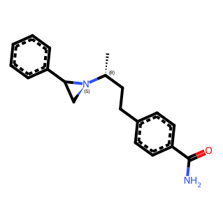 C[C@H](CCc1ccc(C(N)=O)cc1)[N@@]1CC1c1ccccc1